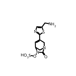 NCc1cnc(C2=CC3CN(C2)C(=O)N3OS(=O)(=O)O)s1